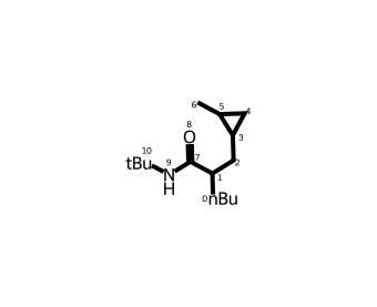 CCCCC(CC1CC1C)C(=O)NC(C)(C)C